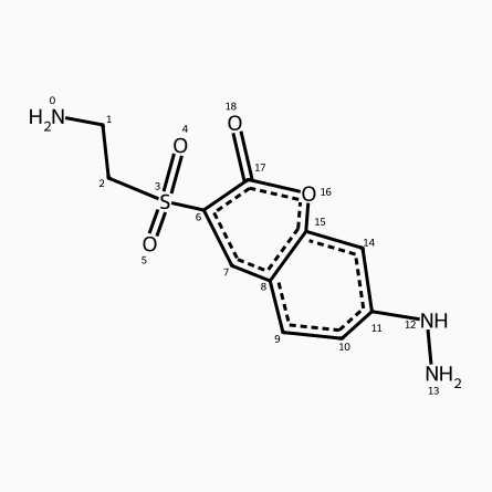 NCCS(=O)(=O)c1cc2ccc(NN)cc2oc1=O